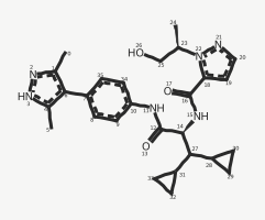 Cc1n[nH]c(C)c1-c1ccc(NC(=O)[C@@H](NC(=O)c2ccnn2[C@H](C)CO)C(C2CC2)C2CC2)cc1